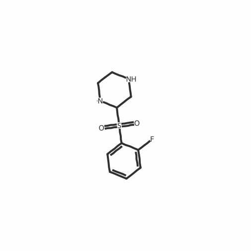 O=S(=O)(c1ccccc1F)C1CNCC[N]1